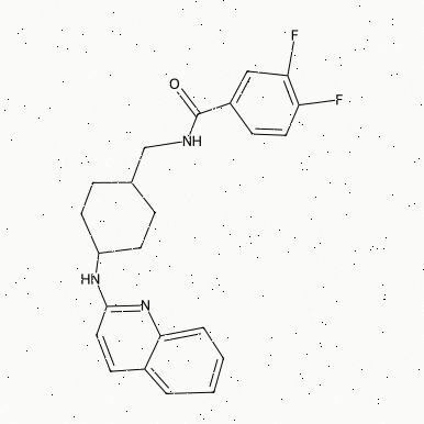 O=C(NCC1CCC(Nc2ccc3ccccc3n2)CC1)c1ccc(F)c(F)c1